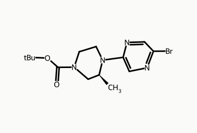 C[C@H]1CN(C(=O)OC(C)(C)C)CCN1c1cnc(Br)cn1